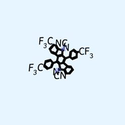 N#C/N=c1\c2ccccc2c2c(-c3ccc(C(F)(F)F)cc3)c3/c(=N/C#N)c4cc(C(F)(F)F)ccc4c3c(-c3ccc(C(F)(F)F)cc3)c12